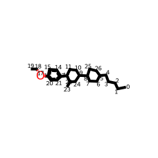 CCCCCC1CCC(C2CCC(c3ccc(OCC)cc3)C(C)C2)CC1